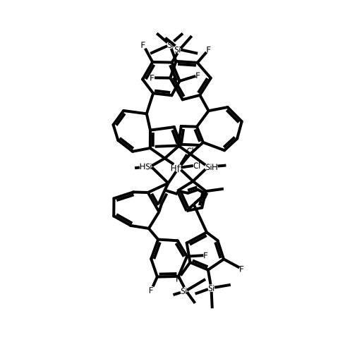 CC1=CC2=C(C=CC=CC2c2cc(F)c([Si](C)(C)C)c(F)c2)[C]12[SiH](C)[C]1(C(C)=CC3=C1C=CC=CC3c1cc(F)c([Si](C)(C)C)c(F)c1)[Hf]21([Cl])([Cl])[C]2(C(C)=CC3=C2C=CC=CC3c2cc(F)c([Si](C)(C)C)c(F)c2)[SiH](C)[C]12C(C)=CC1=C2C=CC=CC1c1cc(F)c([Si](C)(C)C)c(F)c1